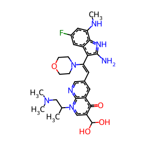 CNc1cc(F)cc2c(/C(=C/c3cnc4c(c3)c(=O)c(C(O)O)cn4C(C)CN(C)C)N3CCOCC3)c(N)[nH]c12